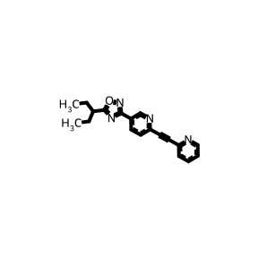 CCC(CC)c1nc(-c2ccc(C#Cc3ccccn3)nc2)no1